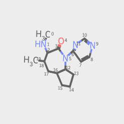 CNC1C(=O)N(c2ccncn2)C2CCCC2CC1C